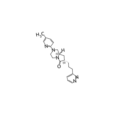 Cc1ccc(N2CCN3C(=O)[C@@H](CCCc4cccnn4)C[C@H]3C2)nc1